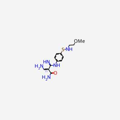 COCCNSc1ccc(NC(=N)/C(=C\N)C(N)=O)cc1